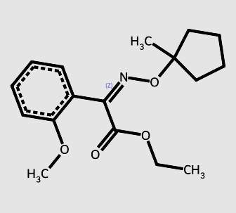 CCOC(=O)/C(=N\OC1(C)CCCC1)c1ccccc1OC